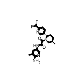 Cc1cc(NC(=O)C(=O)N2C[C@H](C)CC[C@H]2c2ccc(C(F)F)nc2)cnc1N